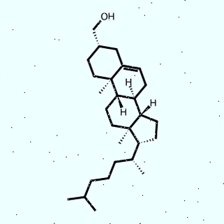 CC(C)CCC[C@@H](C)[C@H]1CC[C@H]2[C@@H]3CC=C4C[C@@H](CO)CC[C@]4(C)[C@H]3CC[C@]12C